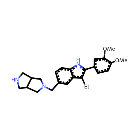 CCc1c(-c2ccc(OC)c(OC)c2)[nH]c2ccc(CN3CC4CNCC4C3)cc12